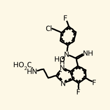 N=C(c1cc(F)c(F)c2nc(CCNC(=O)O)[nH]c12)N(O)c1ccc(F)c(Cl)c1